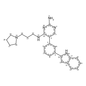 Nc1ncc(-c2cccc(-c3cc4ccccc4[nH]3)c2)c(NCCCN2CCCC2)n1